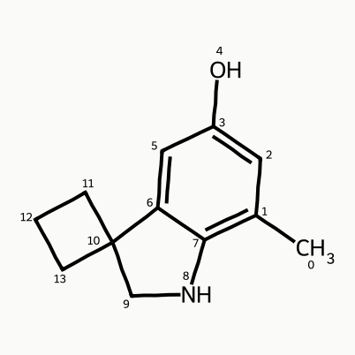 Cc1cc(O)cc2c1NCC21CCC1